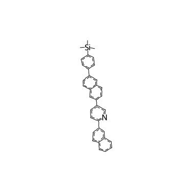 C[Si](C)(C)c1ccc(-c2ccc3cc(-c4ccc(-c5ccc6ccccc6c5)nc4)ccc3c2)cc1